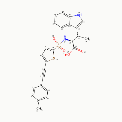 Cc1ccc(C#Cc2ccc(S(=O)(=O)N[C@H](C(=O)O)C(C)c3c[nH]c4ccccc34)s2)cc1